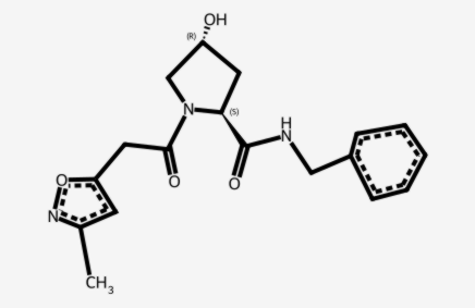 Cc1cc(CC(=O)N2C[C@H](O)C[C@H]2C(=O)NCc2ccccc2)on1